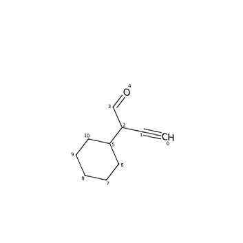 C#CC(C=O)C1CCCCC1